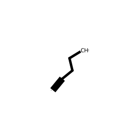 [C]#CCC[CH]